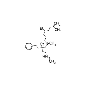 C=CNCCC(CC)(CCc1ccccc1)CN(C)CCCC(CC)CCC(=C)C